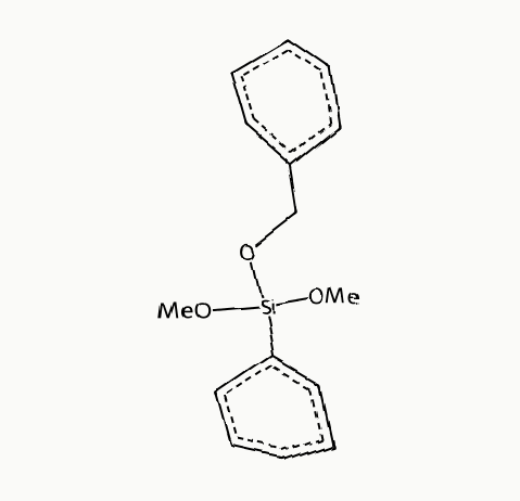 CO[Si](OC)(OCc1ccccc1)c1ccccc1